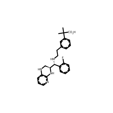 CC(C)(C(=O)O)c1cccc(CCN[C@H](c2ccccc2F)[C@@H]2CNc3cccnc3N2)c1